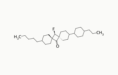 CCCCCC1CC[C@]2(CC1)C(=O)[C@@]1(CCC(C3CCC(CCC)CC3)CC1)[C@@H]2F